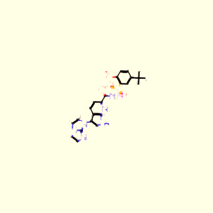 COc1ccc(C(C)(C)C)cc1S(=O)(=O)NC(=O)c1ccc2c(-n3ccn4ccnc34)cn(C)c2n1